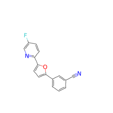 N#Cc1cccc(-c2ccc(-c3ccc(F)cn3)o2)c1